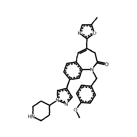 COc1ccc(CN2C(=O)CC(c3ncc(C)o3)=Cc3ccc(-c4cnn(C5CCNCC5)c4)cc32)cc1